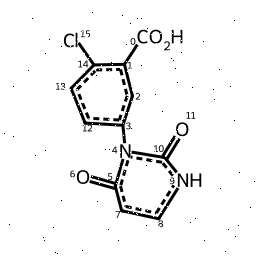 O=C(O)c1cc(-n2c(=O)cc[nH]c2=O)ccc1Cl